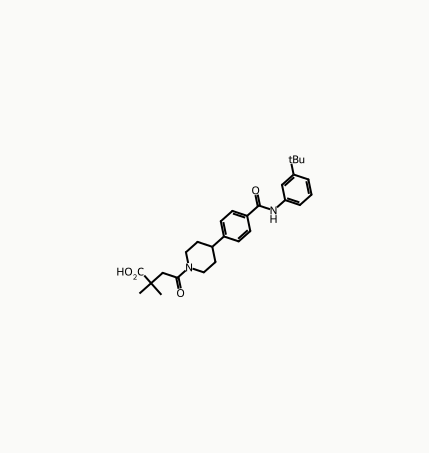 CC(C)(CC(=O)N1CCC(c2ccc(C(=O)Nc3cccc(C(C)(C)C)c3)cc2)CC1)C(=O)O